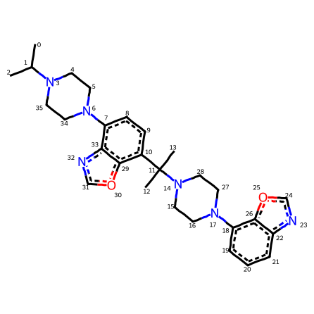 CC(C)N1CCN(c2ccc(C(C)(C)N3CCN(c4cccc5ncoc45)CC3)c3ocnc23)CC1